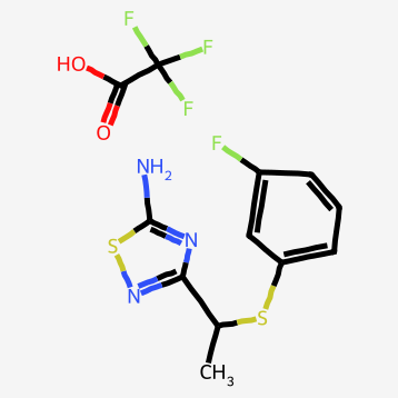 CC(Sc1cccc(F)c1)c1nsc(N)n1.O=C(O)C(F)(F)F